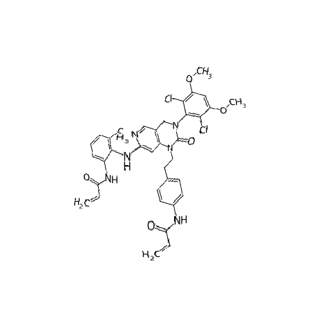 C=CC(=O)Nc1ccc(CCN2C(=O)N(c3c(Cl)c(OC)cc(OC)c3Cl)Cc3cnc(Nc4c(C)cccc4NC(=O)C=C)cc32)cc1